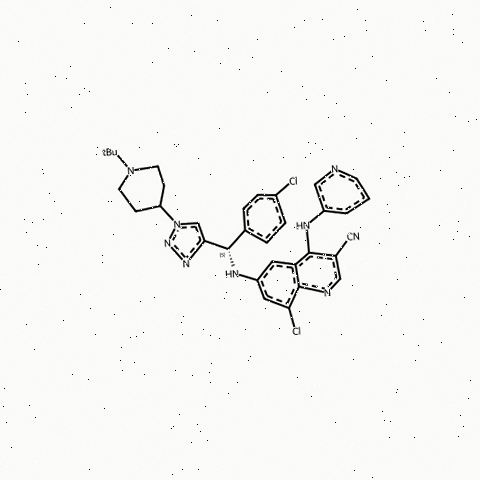 CC(C)(C)N1CCC(n2cc([C@@H](Nc3cc(Cl)c4ncc(C#N)c(Nc5cccnc5)c4c3)c3ccc(Cl)cc3)nn2)CC1